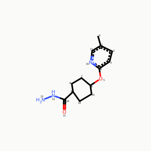 Cc1ccc(OC2CCC(C(=O)NN)CC2)nc1